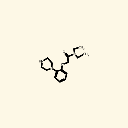 CCN(CC)C(=O)COc1ccccc1N1CCNCC1